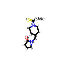 CSC(=S)N1CCC(CN2CCCC2=O)CC1